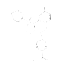 COC(=O)c1ccc(COc2cc(Cl)c(C)cc2N(CC(C)F)S(=O)(=O)c2ccccn2)cc1